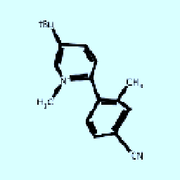 Cc1cc(C#N)ccc1-c1ccc(C(C)(C)C)c[n+]1C